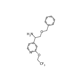 NC(COCc1ccccc1)c1ccnc(OCC(F)(F)F)c1